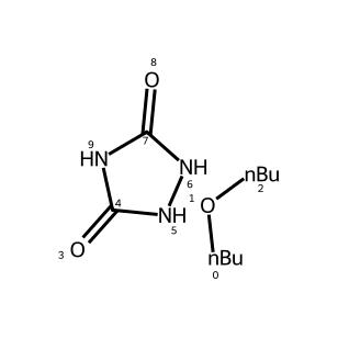 CCCCOCCCC.O=c1[nH][nH]c(=O)[nH]1